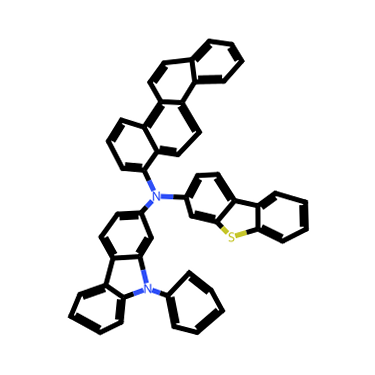 c1ccc(-n2c3ccccc3c3ccc(N(c4ccc5c(c4)sc4ccccc45)c4cccc5c4ccc4c6ccccc6ccc54)cc32)cc1